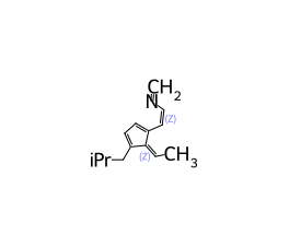 C=N/C=C\C1=CC=C(CC(C)C)/C1=C/C